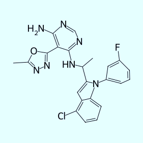 Cc1nnc(-c2c(N)ncnc2NC(C)c2cc3c(Cl)cccc3n2-c2cccc(F)c2)o1